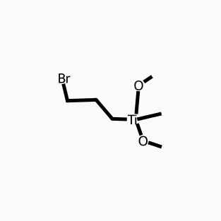 C[O][Ti]([CH3])([CH2]CCBr)[O]C